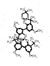 COc1cc(-c2cc(OC)cc(C(C)(C)C)c2Op2oc3c(C(C)(C)C)cc(OC)cc3c3cc(OC)cc(C(C)(C)C)c3o2)c(OP2OCC(C)(C)CO2)c(C(C)(C)C)c1